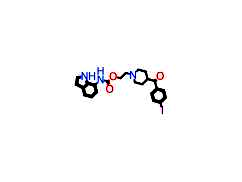 O=C(Nc1cccc2cc[nH]c12)OCCN1CCC(C(=O)c2ccc(I)cc2)CC1